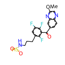 COc1cnc2ccc(C(=O)c3c(F)c(F)cc(CCCN[SH](=O)=O)c3F)cc2n1